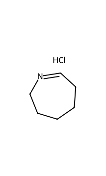 C1=NCCCCC1.Cl